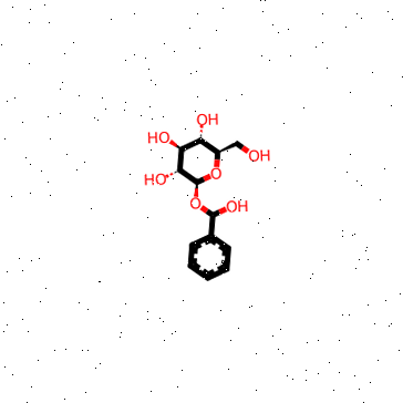 OC[C@H]1O[C@@H](OC(O)c2ccccc2)[C@H](O)[C@@H](O)[C@@H]1O